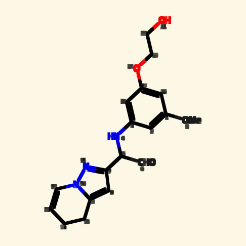 COc1cc(NC(C=O)c2cc3n(n2)C=CCC3)cc(OCCO)c1